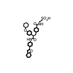 O=C(NCCS(=O)(=O)O)c1ccc(CC(C(=O)Nc2ccc(-c3cc4ccccc4o3)cc2)c2ccc(OC3CCCCC3)cc2)cc1